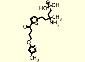 Cc1csc(OCCCC(=O)c2ccc(CCC(C)(N)CCP(=O)(O)O)s2)c1